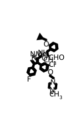 CNn1cc(-c2ccc(F)cc2)c(-c2ccc(OCCN3CCN(C)CC3)c(Cl)c2C)c1C(=N)OC(C=O)Cc1ccccc1OCC1CC1